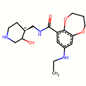 CCNc1cc2c(c(C(=O)NC[C@@H]3CCNCC3O)c1)OCCCO2